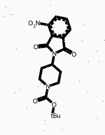 CC(C)(C)OC(=O)N1CCC(N2C(=O)c3cccc([N+](=O)[O-])c3C2=O)CC1